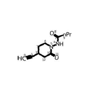 C#CC1CCN(NC(=O)CCC)C(=O)C1